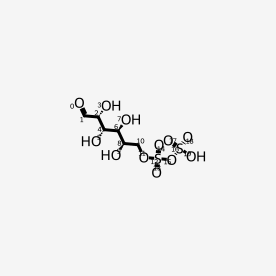 O=C[C@H](O)[C@@H](O)[C@@H](O)[C@H](O)COS(=O)(=O)OS(=O)(=O)O